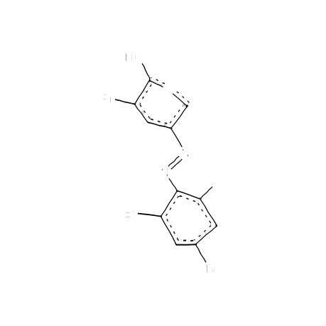 CCc1cc(Br)cc(CC)c1/N=N/c1ccc(O)c(C(C)C)c1